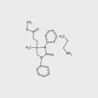 CCCN.COC(=O)CCC1(C)CN(c2ccccc2)C(=O)N1c1ccccc1